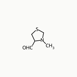 CN1CSCC1C=O